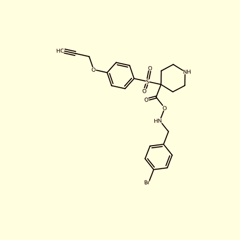 C#CCOc1ccc(S(=O)(=O)C2(C(=O)ONCc3ccc(Br)cc3)CCNCC2)cc1